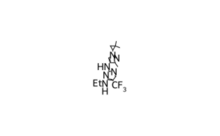 CCNc1nc(Nc2cn([C@H]3CC3(C)C)nc2C)ncc1C(F)(F)F